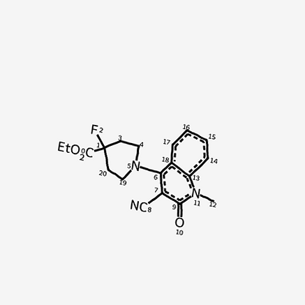 CCOC(=O)C1(F)CCN(c2c(C#N)c(=O)n(C)c3ccccc23)CC1